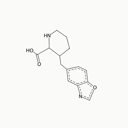 O=C(O)C1NCCCC1Cc1ccc2ocnc2c1